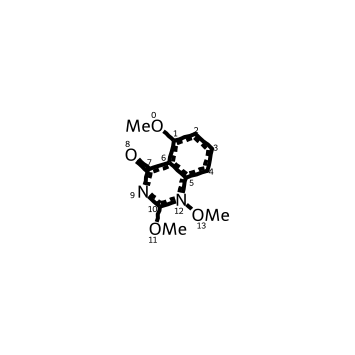 COc1cccc2c1c(=O)nc(OC)n2OC